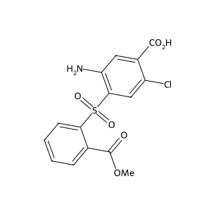 COC(=O)c1ccccc1S(=O)(=O)c1cc(Cl)c(C(=O)O)cc1N